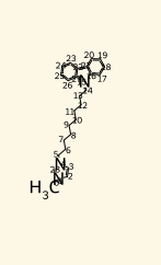 CN1C=CN(CCCCCCCCCCn2c3ccccc3c3ccccc32)C1